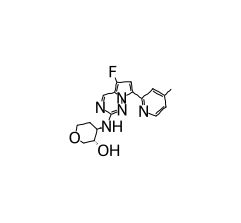 Cc1ccnc(-c2cc(F)c3cnc(N[C@@H]4CCOC[C@H]4O)nn23)c1